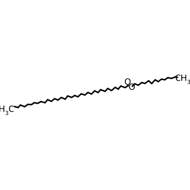 CCCCCCCCCCCCCCCCCCCCCCCCCCCCCCCCCCCC(=O)OCCCCCCCCCCCCCC